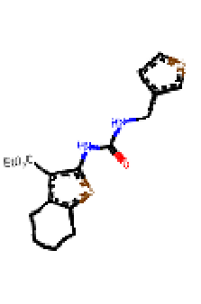 CCOC(=O)c1c(NC(=O)NCc2ccsc2)sc2c1CCCC2